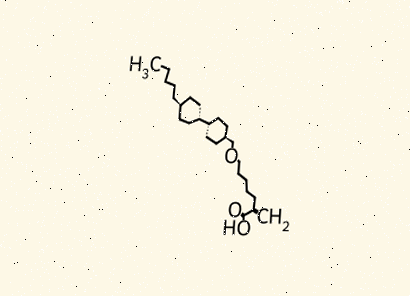 C=C(CCCCCOC[C@H]1CC[C@H]([C@H]2CC[C@H](CCCCC)CC2)CC1)C(=O)O